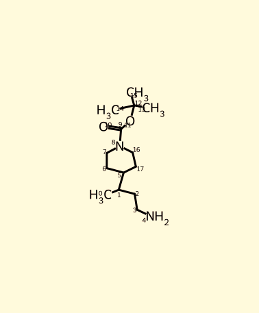 CC(CCN)C1CCN(C(=O)OC(C)(C)C)CC1